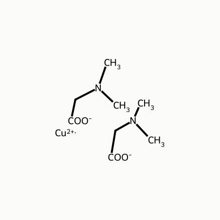 CN(C)CC(=O)[O-].CN(C)CC(=O)[O-].[Cu+2]